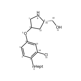 CCCCCCCc1ccc(OC2CN[C@H](CO)C2)cc1Cl